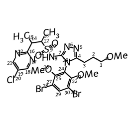 COCCCc1nnc(NS(=O)(=O)C(C)C(C)c2ncc(Cl)cn2)n1-c1c(OC)c(Br)cc(Br)c1OC